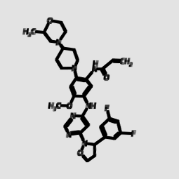 C=CC(=O)Nc1cc(Nc2cc(N3OCCC3c3cc(F)cc(F)c3)ncn2)c(OC)cc1N1CCC(N2CCOC(C)C2)CC1